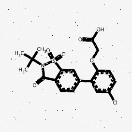 CC(C)(C)N1C(=O)c2ccc(-c3cc(Cl)ccc3OCC(=O)O)cc2S1(=O)=O